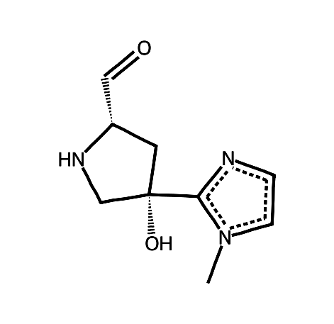 Cn1ccnc1[C@@]1(O)CN[C@H](C=O)C1